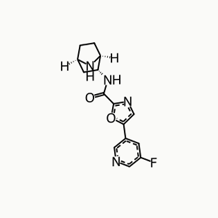 O=C(N[C@@H]1C[C@H]2CC[C@@H]1N2)c1ncc(-c2cncc(F)c2)o1